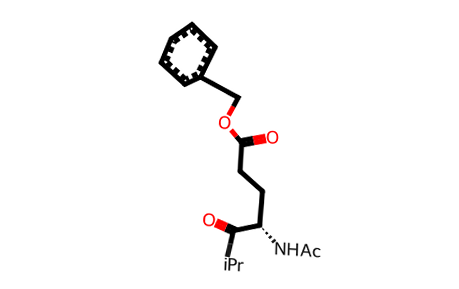 CC(=O)N[C@@H](CCC(=O)OCc1ccccc1)C(=O)C(C)C